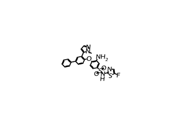 Cn1nccc1-c1cc(-c2ccccc2)ccc1Oc1ccc(S(=O)(=O)Nc2ncc(F)s2)cc1N